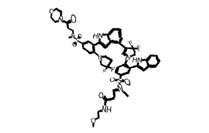 COCCNC(=O)CCN(C)S(=O)(=O)c1ccc(N2CC(c3cccc4[nH]c(-c5cc(S(=O)(=O)N(C)CCC(=O)N6CCOCC6)ccc5N5CCC(F)(F)C5)cc34)C(F)(F)C2)c(-c2cc3ccccc3[nH]2)c1